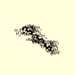 C=C/C=C\[C@H](C)[C@H](OC(N)=O)[C@@H](C)[C@H](O[Si](C)(C)C(C)(C)C)[C@@H](C)C(=O)N(C)C[C@H](C)[C@@H](O[Si](C)(C)C(C)(C)C)[C@@H](C)/C=C\[C@@H](O)CC(=O)[C@H](C)[C@H](O[Si](C)(C)C(C)(C)C)[C@@H](C)C(=O)N(C)OC